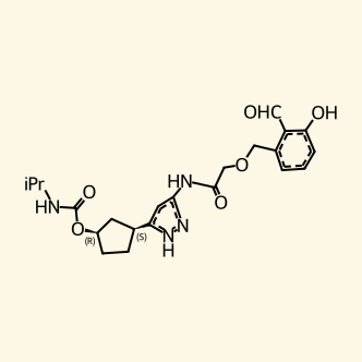 CC(C)NC(=O)O[C@@H]1CC[C@H](c2cc(NC(=O)COCc3cccc(O)c3C=O)n[nH]2)C1